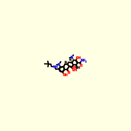 B=C1C(C(N)=O)=C(O)[C@@H](N(C)C)[C@@H]2C[C@@H]3Cc4c(c(O)cc(CNCCC(C)(C)C)c4N(C)C)C(=O)C3=C(O)[C@]12O